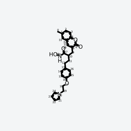 Cc1ccc2oc(=O)c(CC(CCc3ccc(OCCn4cccc4)cc3)C(=O)NO)cc2c1